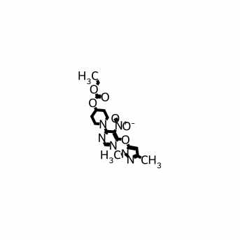 CCOC(=O)OC1CCN(c2ncnc(Oc3cc(C)nn3C)c2[N+](=O)[O-])CC1